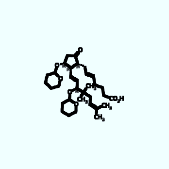 CC(C)=CCC(C)(C)[C@H](C=C[C@H]1[C@H](OC2CCCCO2)CC(=O)[C@@H]1CC=CCCCC(=O)O)OC1CCCCO1